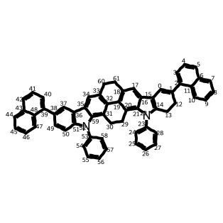 C1=C(c2cccc3ccccc23)CCc2c1c1cc3c4c(c1n2-c1ccccc1)CCc1c-4c(cc2c4cc(-c5cccc6ccccc56)ccc4n(-c4ccccc4)c12)CC3